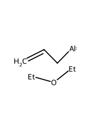 C=C[CH2][Al].CCOCC